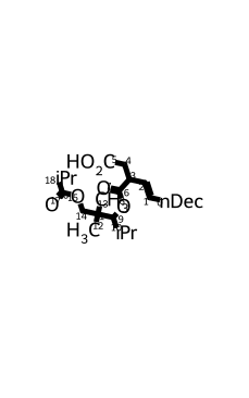 CCCCCCCCCCC=CC(CC(=O)O)C(=O)OC(C(C)C)C(C)(C)COC(=O)C(C)C